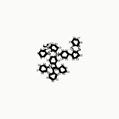 C[Si]1(C)c2ccccc2Sc2c(N(c3ccc(-c4cccc5c4Sc4ccccc4S5)cc3)c3ccc4c(c3)c(-c3ccccc3)c(-c3ccccc3)n4-c3ccccc3)cccc21